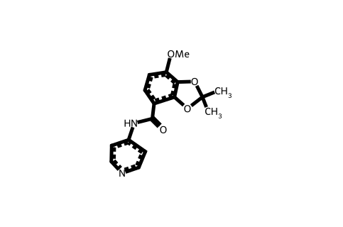 COc1ccc(C(=O)Nc2ccncc2)c2c1OC(C)(C)O2